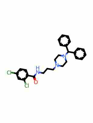 O=C(NCCCN1CCN(C(c2ccccc2)c2ccccc2)CC1)c1ccc(Cl)cc1Cl